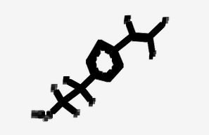 O=S(=O)(O)C(F)(F)C(F)(F)c1ccc(C(F)=C(F)F)cc1